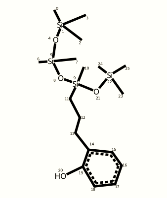 C[Si](C)(C)O[Si](C)(C)O[Si](C)(CCCc1ccccc1O)O[Si](C)(C)C